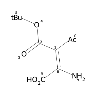 CC(=O)C(C(=O)OC(C)(C)C)=C(N)C(=O)O